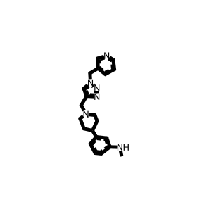 CNc1cccc(C2CCN(Cc3cn(Cc4cccnc4)nn3)CC2)c1